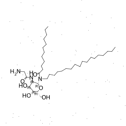 CCCCCCCCCCCCCCCCCCN(C(=O)CCCCCCCCCCC)[C@@H]1O[C@H](CO)[C@H](O)[C@H](O)[C@H]1NC(=O)CN